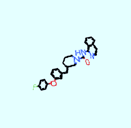 O=C(Nc1nccc2ccccc12)N1CCCC(Cc2cccc(Oc3ccc(F)cc3)c2)C1